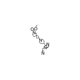 CCOC(=O)N1CCC2(CC(N3CCC(c4nccn4CC#N)CC3)C2)C1